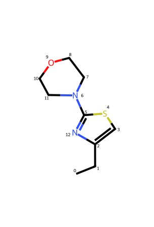 CCc1csc(N2CCOCC2)n1